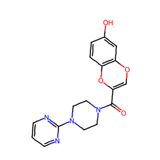 O=C(C1=COc2cc(O)ccc2O1)N1CCN(c2ncccn2)CC1